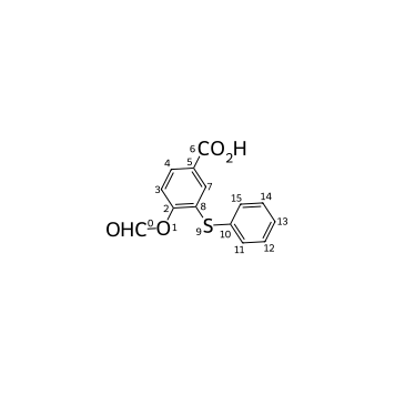 O=COc1ccc(C(=O)O)cc1Sc1ccccc1